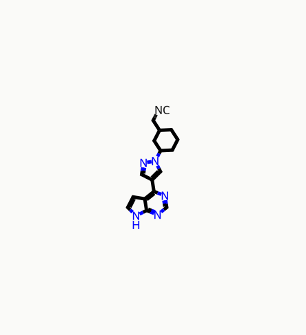 [C-]#[N+]CC1CCCC(n2cc(-c3ncnc4[nH]ccc34)cn2)C1